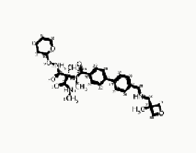 CNC(=O)[C@@](C)(C(=O)NOC1CCCCO1)N(C)C(=O)c1ccc(-c2ccc(CNCC3(C)COC3)cc2)cc1